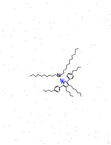 CCCCCCC1=C(c2ccc(CCCC)cc2)[N+](=[N-])C(c2ccc(CCCC)cc2)=C1CCCC.CCCCCCCCCC[CH2][Ni][CH2]CCCCCCCCCC